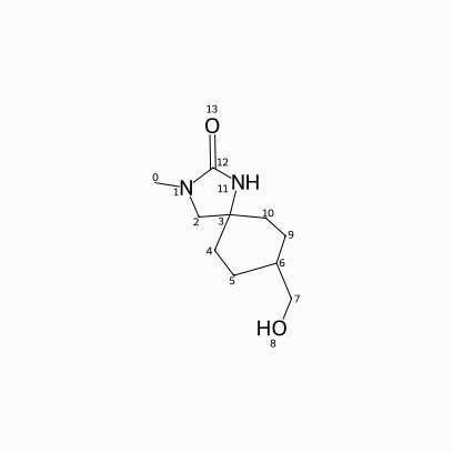 CN1CC2(CCC(CO)CC2)NC1=O